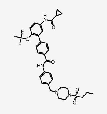 CCCS(=O)(=O)N1CCN(Cc2ccc(NC(=O)c3ccc(-c4cc(NC(=O)C5CC5)ccc4OC(F)(F)F)cc3)cc2)CC1